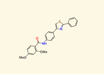 COc1ccc(C(=O)Nc2ccc(-c3csc(-c4ccccc4)n3)cc2)c(OC)c1